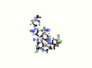 CC(C)(C)N1CCC(N2C=C([C@@H](Nc3cc(Cl)c4ncc(C#N)c(Nc5ccc(F)c(Cl)c5)c4c3)c3cccc4c3CCN4)NN2)CC1